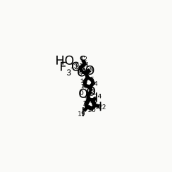 O=C(OC1CCC(C(=O)OC(CS(=O)(=O)O)C(F)(F)F)CC1)c1cc(I)cc(I)c1I